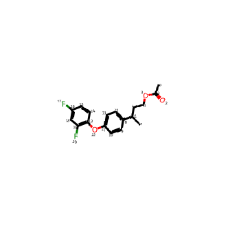 CC(=O)OCCC(C)c1ccc(Oc2ccc(F)cc2F)cc1